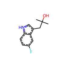 CC(C)(O)Cc1c[nH]c2ccc(F)cc12